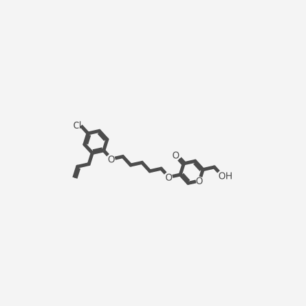 C=CCc1cc(Cl)ccc1OCCCCCOc1coc(CO)cc1=O